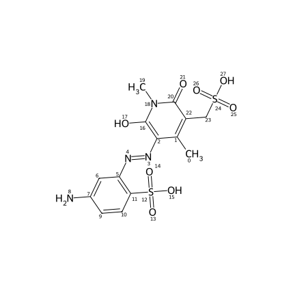 Cc1c(N=Nc2cc(N)ccc2S(=O)(=O)O)c(O)n(C)c(=O)c1CS(=O)(=O)O